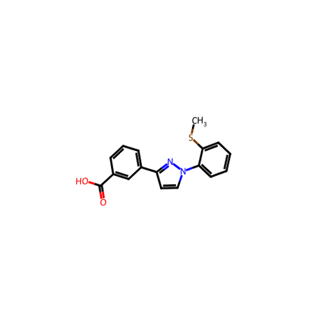 CSc1ccccc1-n1ccc(-c2cccc(C(=O)O)c2)n1